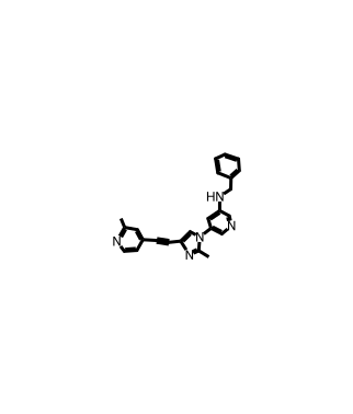 Cc1cc(C#Cc2cn(-c3cncc(NCc4ccccc4)c3)c(C)n2)ccn1